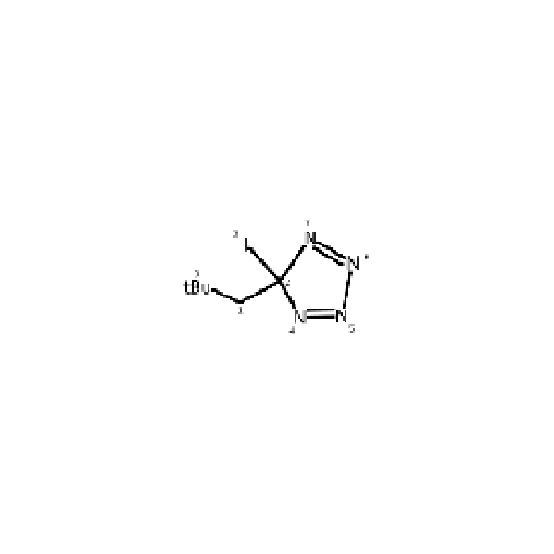 CC(C)(C)CC1(I)N=NN=N1